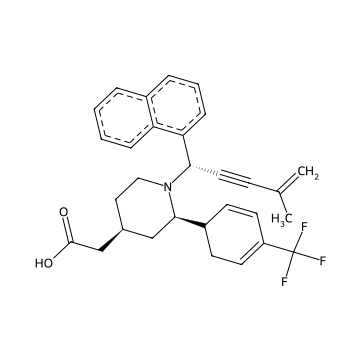 C=C(C)C#C[C@@H](c1cccc2ccccc12)N1CC[C@H](CC(=O)O)C[C@@H]1C1C=CC(C(F)(F)F)=CC1